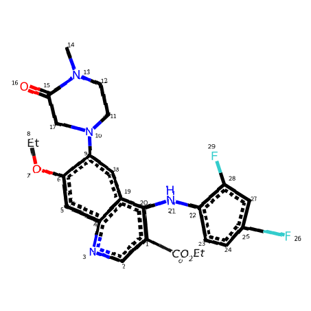 CCOC(=O)c1cnc2cc(OCC)c(N3CCN(C)C(=O)C3)cc2c1Nc1ccc(F)cc1F